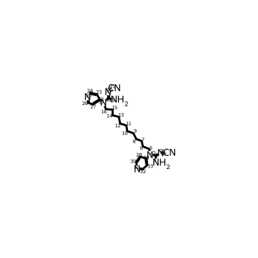 N#CN=C(N)N(CCCCCCCCCCCCN(C(N)=NC#N)c1ccncc1)c1ccncc1